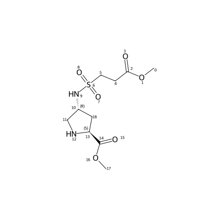 COC(=O)CCS(=O)(=O)N[C@H]1CN[C@H](C(=O)OC)C1